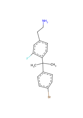 CC(C)(c1ccc(Br)cc1)c1ccc(CCN)cc1F